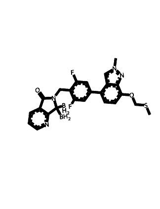 BC1(B)c2ncccc2C(=O)N1Cc1c(F)cc(-c2ccc(OCSC)c3nn(C)cc23)cc1F